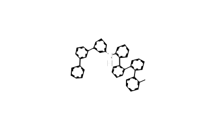 Cc1ccccc1-c1ccccc1-c1ccccc1-c1ccccc1Nc1cccc(-c2cccc(-c3ccccc3)c2)c1